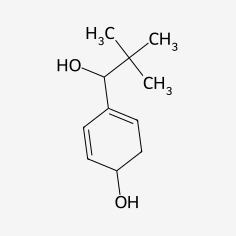 CC(C)(C)C(O)C1=CCC(O)C=C1